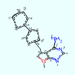 Nc1ncnc2occ(-c3ccc(-c4ccccc4)cc3)c12